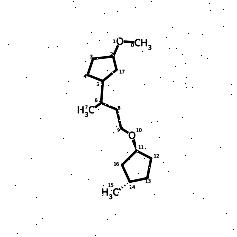 COC1CCC(C(C)CCO[C@H]2CC[C@H](C)C2)C1